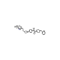 C=CN(CCC1CCN(c2ccc(NC(=O)N3CCC(=Cc4ccccn4)CC3)cc2)C1)/N=C\C